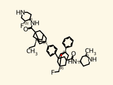 CCC[C@]12CC3CC(C(=O)N[C@@H]4CCNC[C@@H]4F)(C1)C[C@@](c1ccc(C45CC6(C(=O)N[C@H]7CCN[C@H](C)C7)C[C@](CF)(C4)C[C@@](c4ccccc4)(C6)C5)cc1)(C3)C2